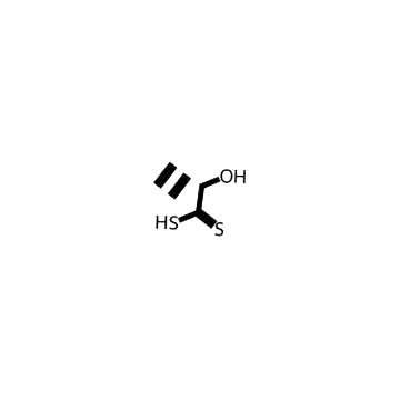 C=C.C=C.OCC(=S)S